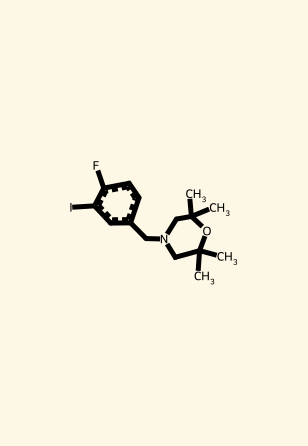 CC1(C)CN(Cc2ccc(F)c(I)c2)CC(C)(C)O1